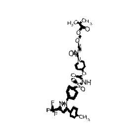 Cc1ccc(-c2cc(C(F)(F)F)nn2-c2ccc(S(=O)(=O)NC(=O)OC3CCN([N+]([O-])=NOCOC(=O)C(C)C)CC3)cc2)cc1